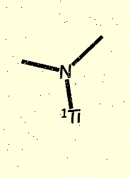 C[N](C)[1Ti]